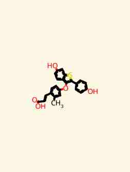 Cc1cc(Oc2c(-c3ccc(O)cc3)sc3cc(O)ccc23)ccc1/C=C/C(=O)O